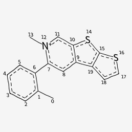 Cc1ccccc1-c1cc2c(c[n+]1C)sc1sccc12